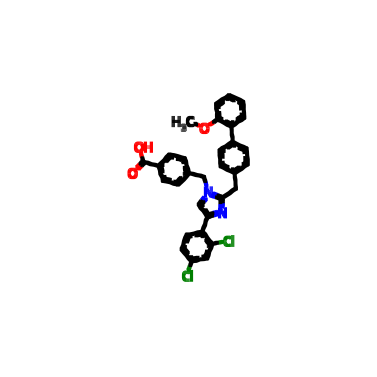 COc1ccccc1-c1ccc(Cc2nc(-c3ccc(Cl)cc3Cl)cn2Cc2ccc(C(=O)O)cc2)cc1